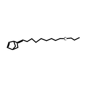 CCCCCCCCCCCCC=C1CC2C=CC1C2